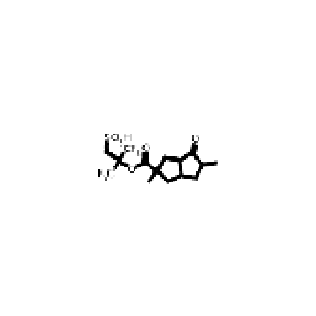 CC1CC2CC(C)(C(=O)OC(CS(=O)(=O)O)(C(F)(F)F)C(F)(F)F)CC2C1=O